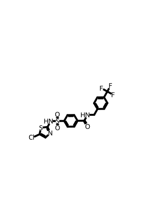 O=C(NCc1ccc(C(F)(F)F)cc1)c1ccc(S(=O)(=O)Nc2ncc(Cl)s2)cc1